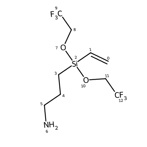 C=C[Si](CCCN)(OCC(F)(F)F)OCC(F)(F)F